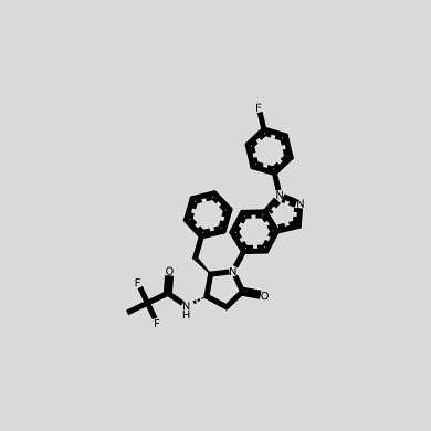 CC(F)(F)C(=O)N[C@H]1CC(=O)N(c2ccc3c(cnn3-c3ccc(F)cc3)c2)[C@@H]1Cc1ccccc1